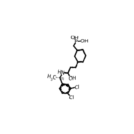 C[C@H](NC(O)CCC1CCCC(C[PH](=O)O)C1)c1ccc(Cl)c(Cl)c1